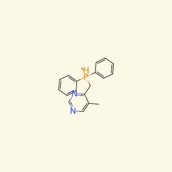 Cc1cncnc1C[PH](C)(c1ccccc1)c1ccccc1